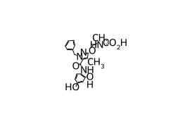 Cc1c(OC[C@H](C)NC(=O)O)nn(Cc2ccccc2)c1C(=O)Nc1ccc(O)cc1O